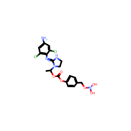 CC(OC(=O)Oc1ccc(CON(O)O)cc1)N1CCN/C1=N\c1c(Cl)cc(N)cc1Cl